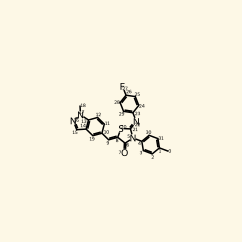 Cc1ccc(N2C(=O)/C(=C/c3ccc4c(cnn4C)c3)S/C2=N\c2ccc(F)cc2)cc1